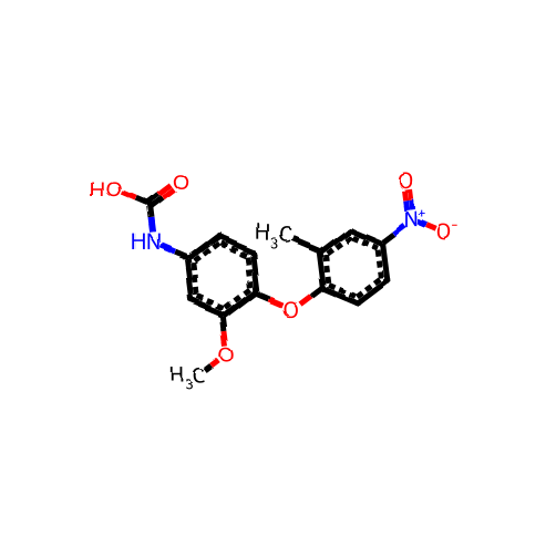 COc1cc(NC(=O)O)ccc1Oc1ccc([N+](=O)[O-])cc1C